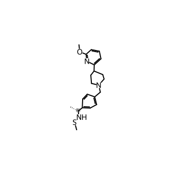 COc1cccc(C2CCN(Cc3ccc([C@@H](C)NSC)cc3)CC2)n1